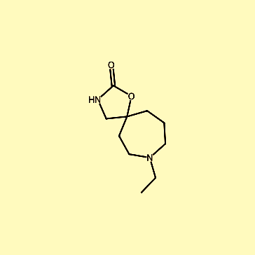 CCN1CCCC2(CC1)CNC(=O)O2